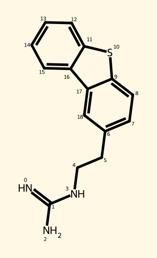 N=C(N)NCCc1ccc2sc3ccccc3c2c1